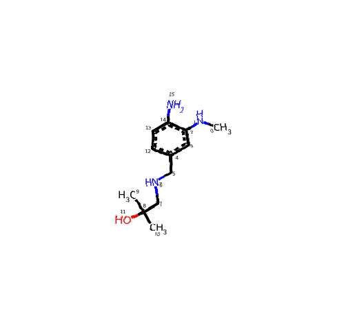 CNc1cc(CNCC(C)(C)O)ccc1N